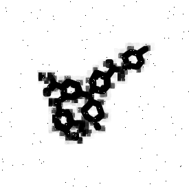 CC1CCN(NC(=O)c2ccc(N(c3ccc(C(N)=O)c(Nc4ncc([N+](=O)[O-])c(NC(C)C)n4)c3)C3CCN(C)CC3)cc2)CC1